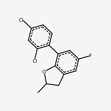 [CH2]C1Cc2cc(F)cc(-c3ccc(Cl)cc3Cl)c2O1